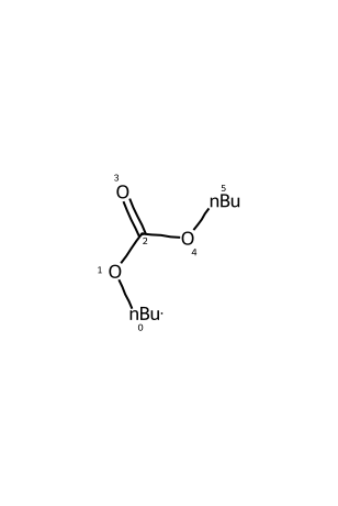 CCC[CH]OC(=O)OCCCC